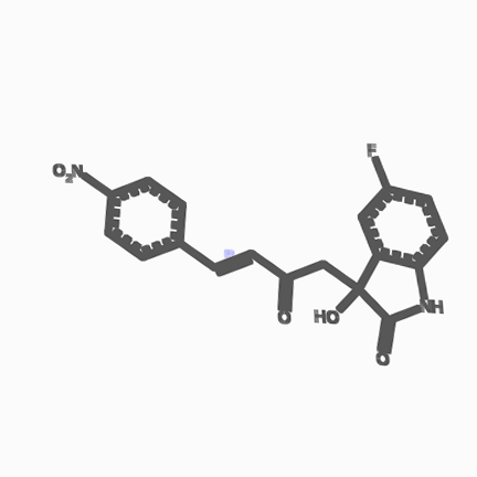 O=C(/C=C/c1ccc([N+](=O)[O-])cc1)CC1(O)C(=O)Nc2ccc(F)cc21